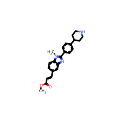 COC(=O)C=Cc1ccc2c(c1)nc(-c1ccc(C3CCNCC3)cc1)n2C